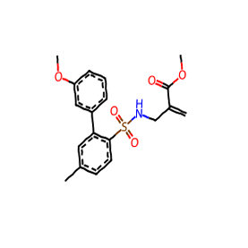 C=C(CNS(=O)(=O)c1ccc(C)cc1-c1cccc(OC)c1)C(=O)OC